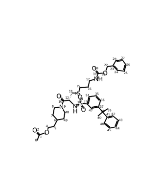 CC(=O)OCCC1CCN(C(=O)[C@H](CSCCCNC(=O)OCc2ccccc2)NS(=O)(=O)c2cccc(C(C)(C)c3ccccc3)c2)CC1